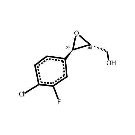 OC[C@H]1O[C@@H]1c1ccc(Cl)c(F)c1